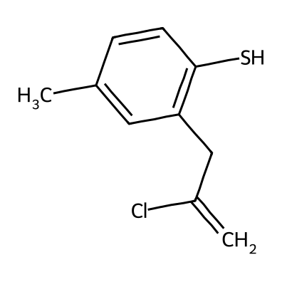 C=C(Cl)Cc1cc(C)ccc1S